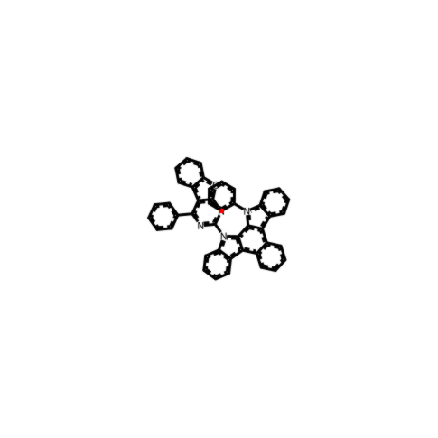 c1ccc(-c2nc(-n3c4ccccc4c4c5ccccc5c5c6ccccc6n(-c6ccccc6)c5c43)nc3oc4ccccc4c23)cc1